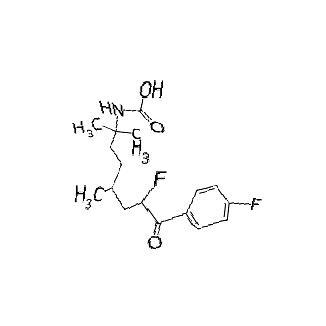 CC(CCC(C)(C)NC(=O)O)CC(F)C(=O)c1ccc(F)cc1